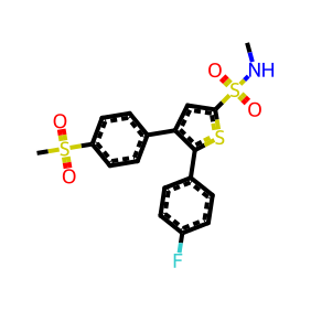 CNS(=O)(=O)c1cc(-c2ccc(S(C)(=O)=O)cc2)c(-c2ccc(F)cc2)s1